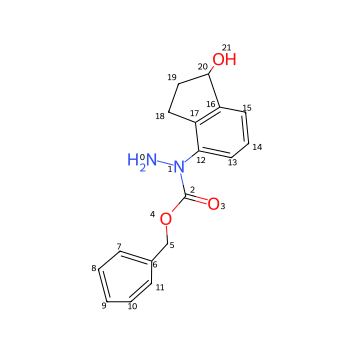 NN(C(=O)OCc1ccccc1)c1cccc2c1CCC2O